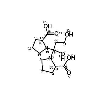 O=C(O)[C@@H]1CCCN1C(O)(CCO)N1CCC[C@H]1C(=O)O